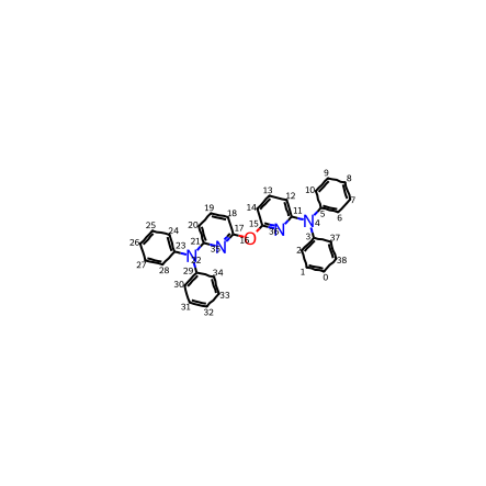 c1ccc(N(c2ccccc2)c2cccc(Oc3cccc(N(c4ccccc4)c4ccccc4)n3)n2)cc1